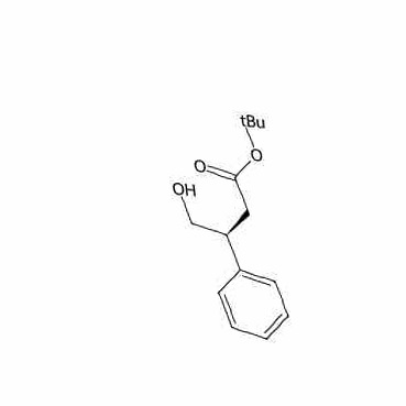 CC(C)(C)OC(=O)C[C@H](CO)c1ccccc1